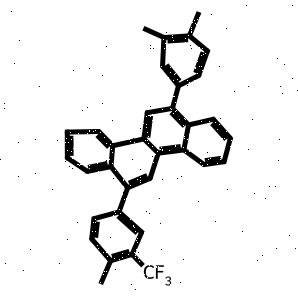 Cc1ccc(-c2cc3c4ccccc4c(-c4ccc(C)c(C(F)(F)F)c4)cc3c3ccccc23)cc1C